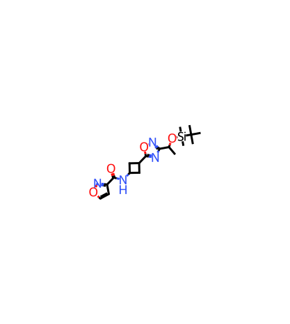 CC(O[Si](C)(C)C(C)(C)C)c1noc(C2CC(NC(=O)c3ccon3)C2)n1